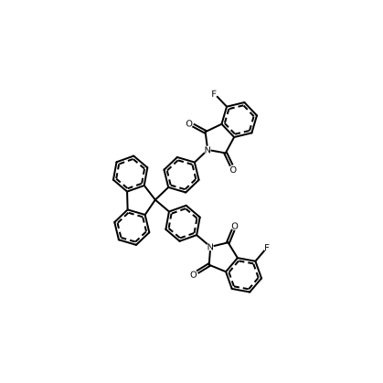 O=C1c2cccc(F)c2C(=O)N1c1ccc(C2(c3ccc(N4C(=O)c5cccc(F)c5C4=O)cc3)c3ccccc3-c3ccccc32)cc1